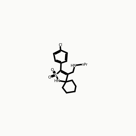 CCCNCC1=C(c2ccc(Cl)cc2)S(=O)(=O)NC12CCCCC2